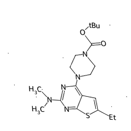 CCc1cc2c(N3CCN(C(=O)OC(C)(C)C)CC3)nc(N(C)C)nc2s1